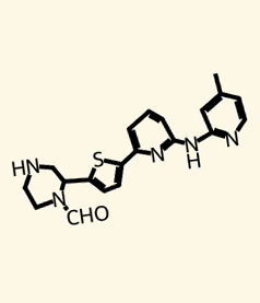 Cc1ccnc(Nc2cccc(-c3ccc(C4CNCCN4C=O)s3)n2)c1